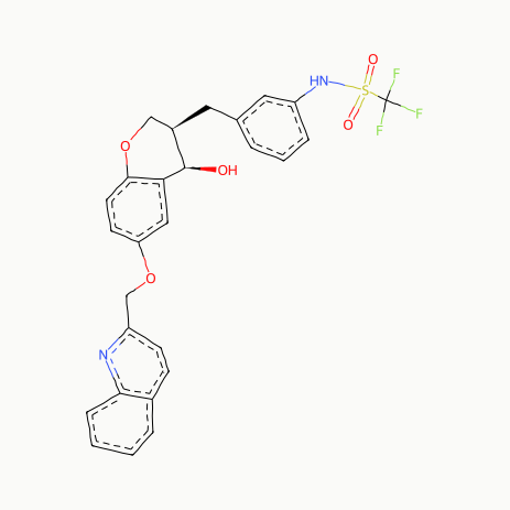 O=S(=O)(Nc1cccc(C[C@@H]2COc3ccc(OCc4ccc5ccccc5n4)cc3[C@@H]2O)c1)C(F)(F)F